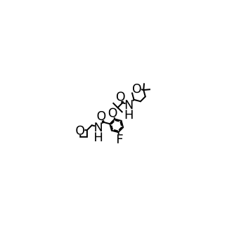 CC1(C)CCC(NC(=O)C(C)(C)Oc2ccc(F)cc2C(=O)NCC2CCO2)CO1